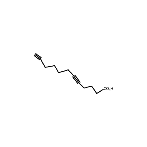 C#CCCCCC#CCCCC(=O)O